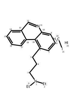 CCN(CC)CCCc1cccc2ncc3ccccc3c12.CI.I